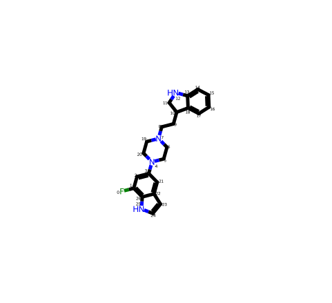 Fc1cc(N2CCN(CCC3CNc4ccccc43)CC2)cc2cc[nH]c12